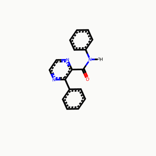 [2H]N(C(=O)c1nccnc1-c1ccccc1)c1ccccc1